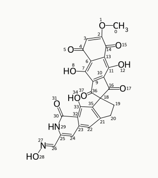 COC1=CC(=O)c2c(O)c3c(c(O)c2C1=O)C(=O)C1(CCc2cc4cc(C=NO)[nH]c(=O)c4c(O)c21)C3=O